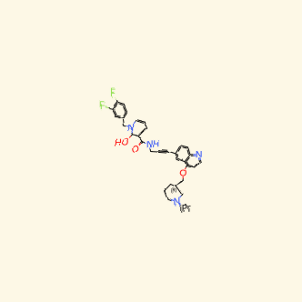 CC(C)N1CCC[C@@H](COc2ccnc3ccc(C#CCNC(=O)C4=CC=CN(Cc5ccc(F)c(F)c5)C4O)cc23)C1